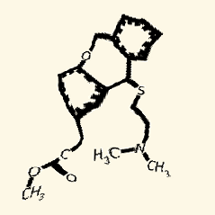 COC(=O)CCc1ccc2c(c1)C(SCCN(C)C)c1ccccc1CO2